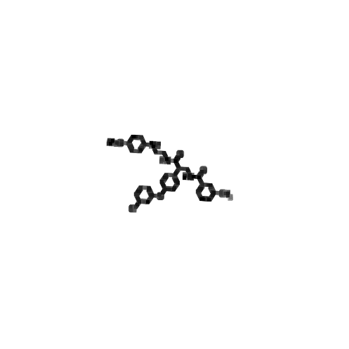 COc1ccc(NCCNC(=O)C(CNC(=O)c2cccc(C)c2)c2ccc(Oc3cccc(Cl)c3)cc2)cc1